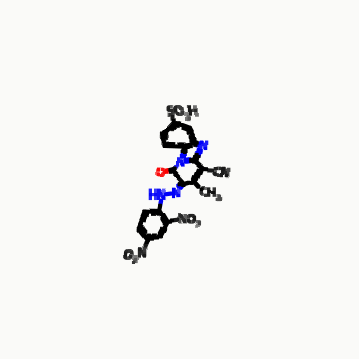 CC1=C(C#N)c2nc3cc(S(=O)(=O)O)ccc3n2C(=O)C1=NNc1ccc([N+](=O)[O-])cc1[N+](=O)[O-]